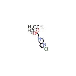 CC(C)(C)OC(=O)CCN1CCc2nc(Cl)ccc2C1